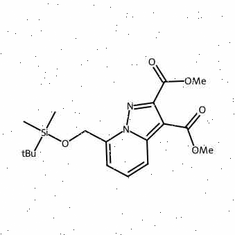 COC(=O)c1nn2c(CO[Si](C)(C)C(C)(C)C)cccc2c1C(=O)OC